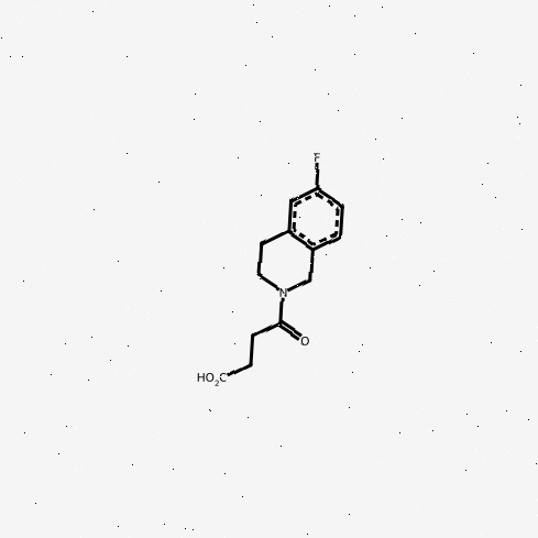 O=C(O)CCC(=O)N1CCc2cc(F)ccc2C1